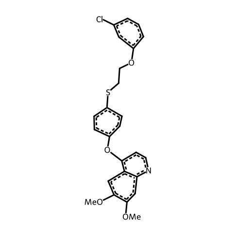 COc1cc2nccc(Oc3ccc(SCCOc4cccc(Cl)c4)cc3)c2cc1OC